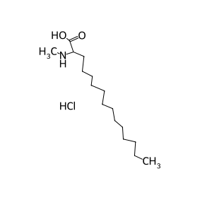 CCCCCCCCCCCCCC(NC)C(=O)O.Cl